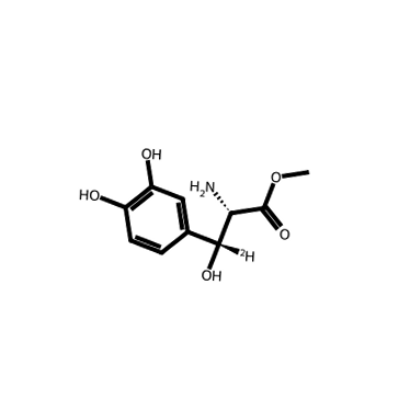 [2H][C@@](O)(c1ccc(O)c(O)c1)[C@H](N)C(=O)OC